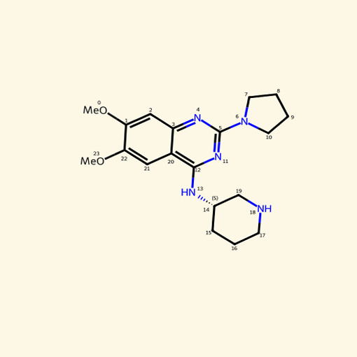 COc1cc2nc(N3CCCC3)nc(N[C@H]3CCCNC3)c2cc1OC